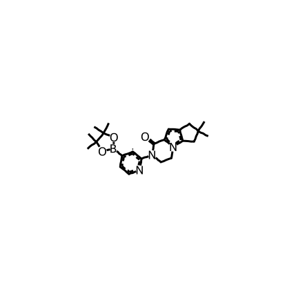 CC1(C)Cc2cc3n(c2C1)CCN(c1[c]c(B2OC(C)(C)C(C)(C)O2)ccn1)C3=O